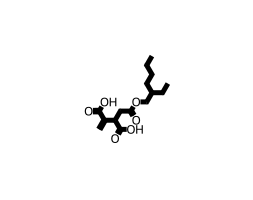 C=C(C(=O)O)C(CC(=O)OCC(CC)CCCC)C(=O)O